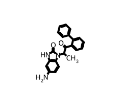 CC(C(=O)c1ccccc1-c1ccccc1)n1c(=O)[nH]c2cc(N)ccc21